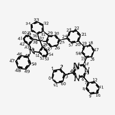 c1ccc(-c2nc(-c3ccccc3)nc(-c3cccc(-c4cccc(-c5ccc6c(c5)-c5ccccc5C65c6ccccc6N(c6ccccc6)c6ccccc65)c4)c3)n2)cc1